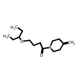 C=C1CCN(C(=O)CCCOC(CC)CC)CC1